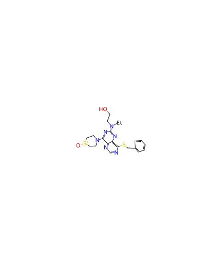 CCN(CCO)c1nc(N2CC[S+]([O-])CC2)c2ncnc(SCc3ccccc3)c2n1